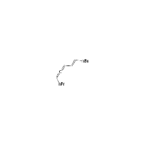 CCCC=C=CC=CCCCC